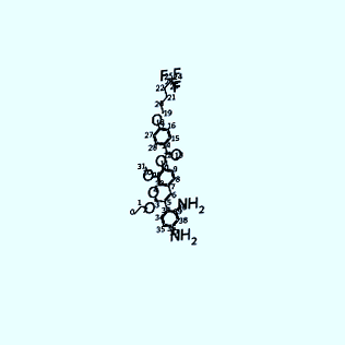 CCOC(=O)C(=Cc1ccc(OC(=O)c2ccc(OCCCCC(F)(F)F)cc2)c(OC)c1)c1ccc(N)cc1N